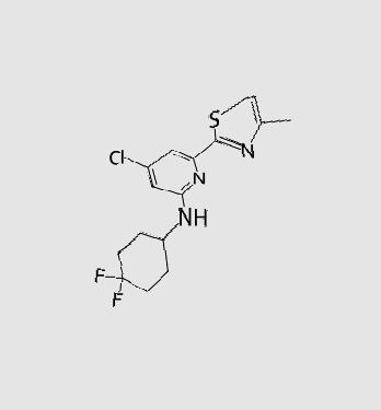 Cc1csc(-c2cc(Cl)cc(NC3CCC(F)(F)CC3)n2)n1